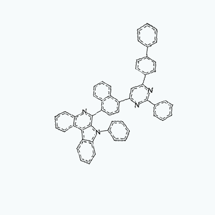 c1ccc(-c2ccc(-c3cc(-c4ccc(-c5nc6ccccc6c6c7ccccc7n(-c7ccccc7)c56)c5ccccc45)nc(-c4ccccc4)n3)cc2)cc1